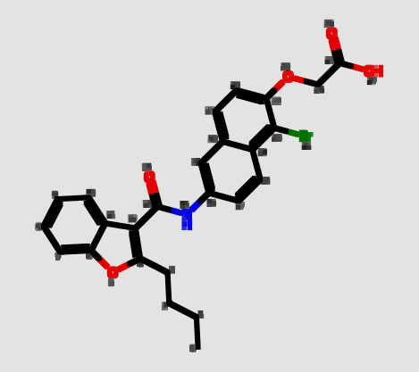 CCCCc1oc2ccccc2c1C(=O)Nc1ccc2c(Br)c(OCC(=O)O)ccc2c1